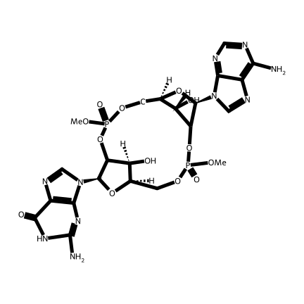 COP1(=O)OC[C@H]2O[C@@H](n3cnc4c(=O)[nH]c(N)nc43)C(OP(=O)(OC)OC[C@H]3O[C@@H](n4cnc5c(N)ncnc54)C(O1)[C@H]3O)[C@H]2O